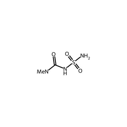 CNC(=O)NS(N)(=O)=O